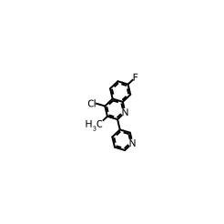 Cc1c(-c2cccnc2)nc2cc(F)ccc2c1Cl